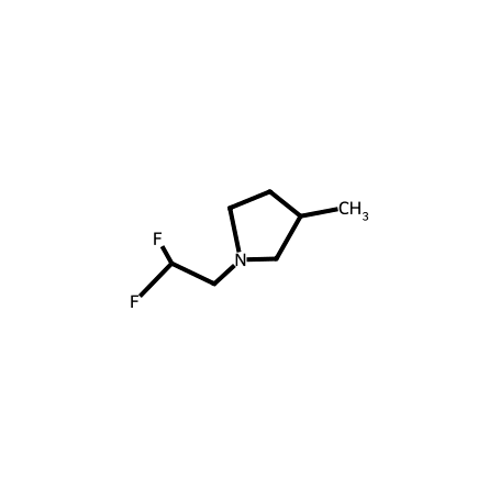 CC1CCN(CC(F)F)C1